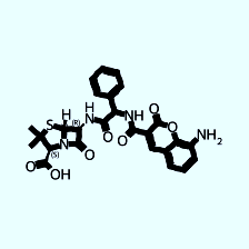 CC1(C)S[C@@H]2[C@H](NC(=O)C(NC(=O)c3cc4cccc(N)c4oc3=O)c3ccccc3)C(=O)N2[C@H]1C(=O)O